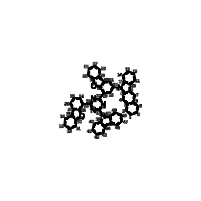 c1ccc2cc3c(cc2c1)c1ccccc1n3-c1cc(-c2nc(-c3cccc4c3oc3ccccc34)nc(-n3c4ccccc4c4ccccc43)n2)c2oc3ccccc3c2c1